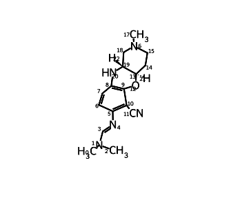 CN(C)/C=N/c1ccc2c(c1C#N)O[C@@H]1CCN(C)C[C@H]1N2